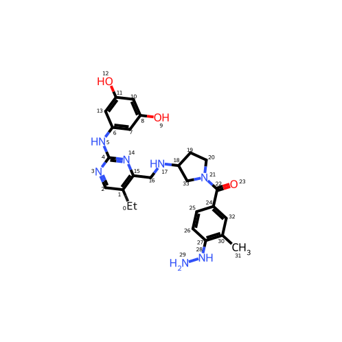 CCc1cnc(Nc2cc(O)cc(O)c2)nc1CNC1CCN(C(=O)c2ccc(NN)c(C)c2)C1